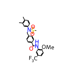 COc1ccc(C(F)(F)F)cc1NC(=O)c1ccc(CN(c2ccc(C)c(C)c2)S(C)(=O)=O)cc1